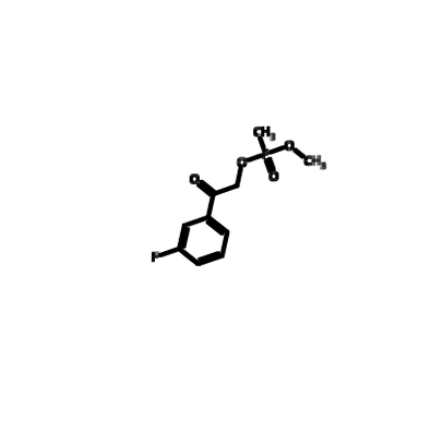 COP(C)(=O)OCC(=O)c1cccc(F)c1